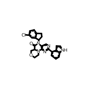 O=C1C2COCCN2c2nc(-c3cccc4[nH]ccc34)ncc2N1C1CCc2ccc(Cl)cc21